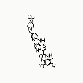 COc1cc(OC)c(I)c(NC(=O)c2csc3c(Nc4ccc(CN5CCN(C(C)=O)CC5)cn4)ncnc23)c1C